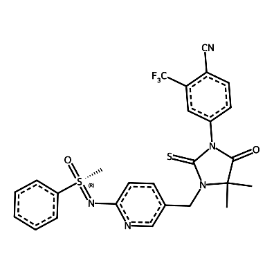 CC1(C)C(=O)N(c2ccc(C#N)c(C(F)(F)F)c2)C(=S)N1Cc1ccc(N=[S@](C)(=O)c2ccccc2)nc1